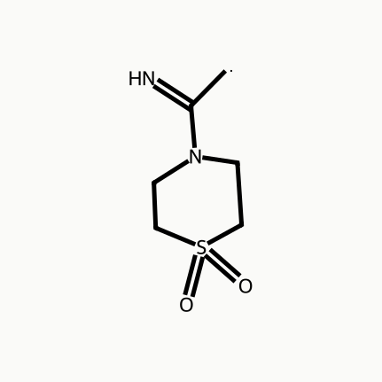 [CH2]C(=N)N1CCS(=O)(=O)CC1